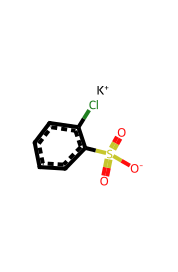 O=S(=O)([O-])c1ccccc1Cl.[K+]